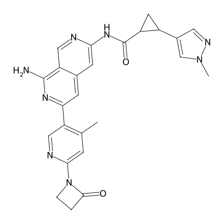 Cc1cc(N2CCC2=O)ncc1-c1cc2cc(NC(=O)C3CC3c3cnn(C)c3)ncc2c(N)n1